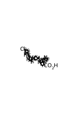 O=C(O)c1ccc2nc(C3CC34CCN(c3nc(OCc5ccc(Cl)cc5F)ncc3F)CC4)n(Cc3ncco3)c2c1